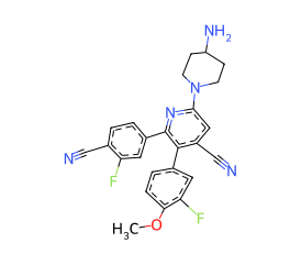 COc1ccc(-c2c(C#N)cc(N3CCC(N)CC3)nc2-c2ccc(C#N)c(F)c2)cc1F